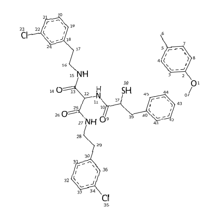 COc1ccc(C)cc1.O=C(NC(C(=O)NCCc1cccc(Cl)c1)C(=O)NCCc1cccc(Cl)c1)C(S)Cc1ccccc1